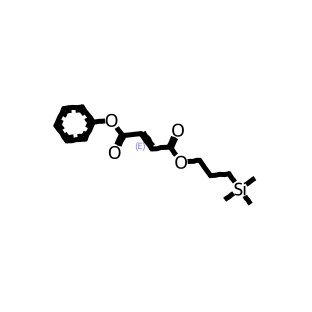 C[Si](C)(C)CCCOC(=O)/C=C/C(=O)Oc1ccccc1